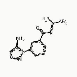 NC(N)=NC(=O)c1cccc(-n2nccc2N)c1